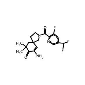 CC1(C)CC2(C=C(N)C1=O)CCN(C(=O)c1ncc(C(F)F)cc1F)C2